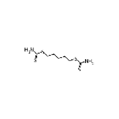 NC(=S)SCCCCCSC(N)=S